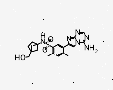 Cc1cc(C)c(S(=O)(=O)NC23CCC(CO)(C2)C3)cc1-c1cn2c(N)ncnc2n1